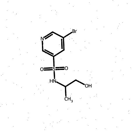 CC(CO)NS(=O)(=O)c1cncc(Br)c1